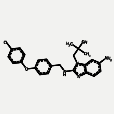 CC(C)(O)Cn1c(NCc2ccc(Oc3ccc(Cl)cc3)cc2)nc2ccc(N)cc21